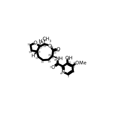 COc1ccnc(C(=O)N[C@H]2CCC[C@@H]3CCO[C@H]3[C@H](C)OC2=O)c1O